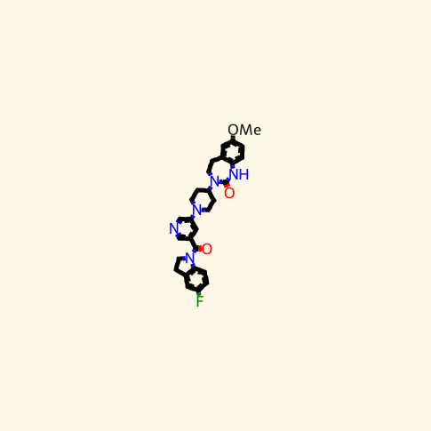 COc1ccc2c(c1)CCN(C1CCN(c3cncc(C(=O)N4CCc5cc(F)ccc54)c3)CC1)C(=O)N2